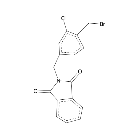 O=C1c2ccccc2C(=O)N1Cc1ccc(CBr)c(Cl)c1